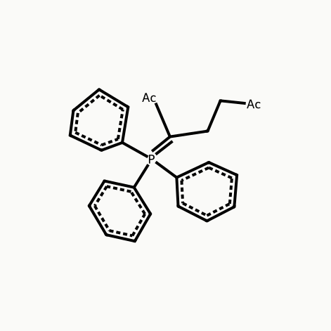 CC(=O)CCC(C(C)=O)=P(c1ccccc1)(c1ccccc1)c1ccccc1